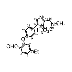 CCc1ccc(C=O)c(Oc2ccc(-c3cnc(CN(C)C)n3C)cc2)c1